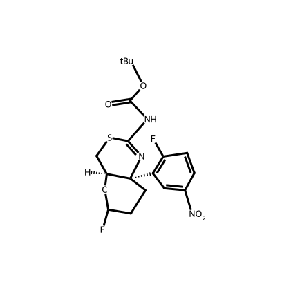 CC(C)(C)OC(=O)NC1=N[C@@]2(c3cc([N+](=O)[O-])ccc3F)CCC(F)C[C@H]2CS1